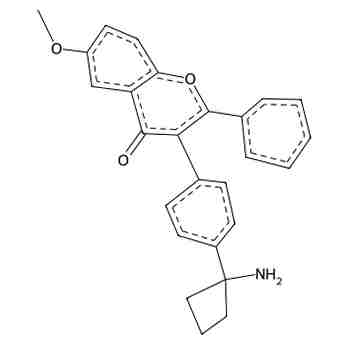 COc1ccc2oc(-c3ccccc3)c(-c3ccc(C4(N)CCC4)cc3)c(=O)c2c1